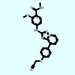 CNC(=O)c1ccc(Nc2nc3c(-c4ccc(OCC#N)cc4)cccn3n2)cc1OC